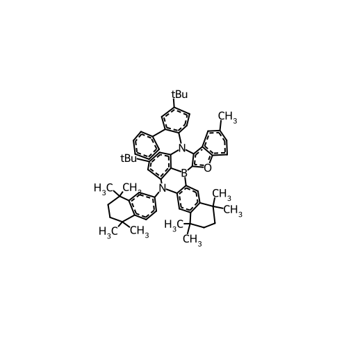 Cc1ccc2oc3c(c2c1)N(c1ccc(C(C)(C)C)cc1-c1ccccc1)c1cc(C(C)(C)C)cc2c1B3c1cc3c(cc1N2c1ccc2c(c1)C(C)(C)CCC2(C)C)C(C)(C)CCC3(C)C